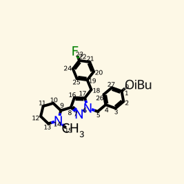 CC(C)COc1ccc(Cn2nc(C3CCCCN3C)cc2Cc2ccc(F)cc2)cc1